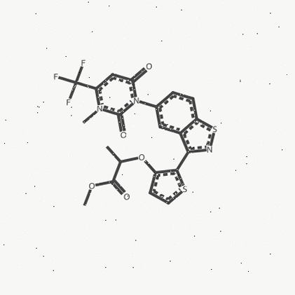 COC(=O)C(C)Oc1ccsc1-c1nsc2ccc(-n3c(=O)cc(C(F)(F)F)n(C)c3=O)cc12